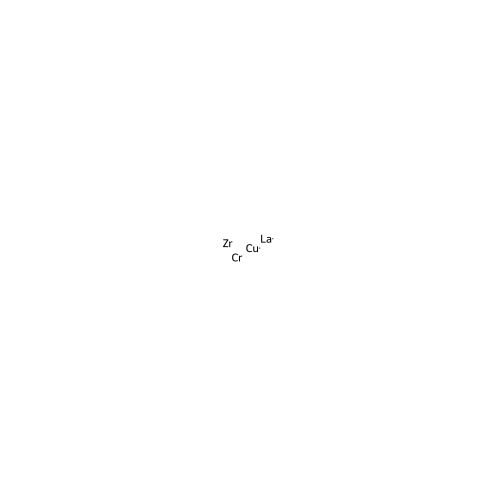 [Cr].[Cu].[La].[Zr]